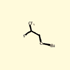 CCC(C)OCC(F)C(F)(F)F